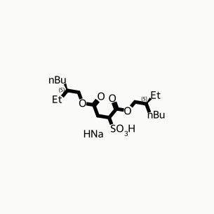 CCCC[C@H](CC)COC(=O)CC(C(=O)OC[C@@H](CC)CCCC)S(=O)(=O)O.[NaH]